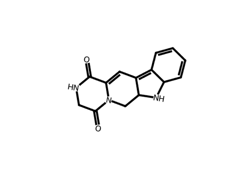 O=C1NCC(=O)N2CC3NC4C=CC=CC4=C3C=C12